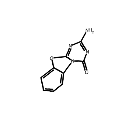 Nc1nc(=O)n2c(n1)oc1ccccc12